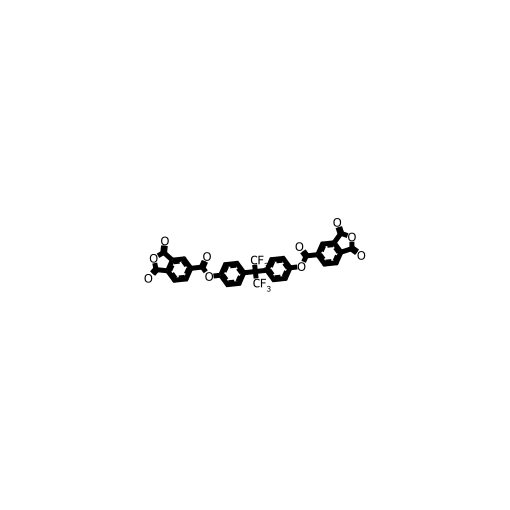 O=C(Oc1ccc(C(c2ccc(OC(=O)c3ccc4c(c3)C(=O)OC4=O)cc2)(C(F)(F)F)C(F)(F)F)cc1)c1ccc2c(c1)C(=O)OC2=O